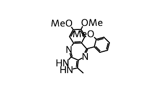 COc1cc2c(cc1OC)C(c1ccccc1OC)=NC1=C(C)NNC1=N2